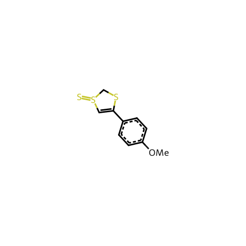 COc1ccc(C2=CS(=S)CS2)cc1